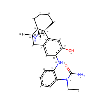 CCN(C(N)=O)c1ccccc1Nc1cc2c(cc1O)[C@@]13CCCC[C@H]1[C@@H](C2)NCC3